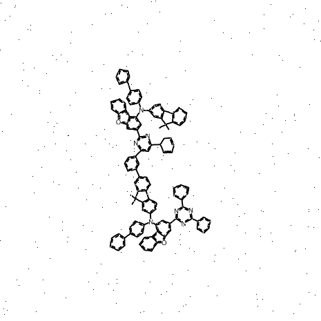 CC1(C)c2ccccc2-c2ccc(N(c3ccc(-c4ccccc4)cc3)c3cc(-c4nc(-c5cccc(-c6ccc7c(c6)C(C)(C)c6cc(N(c8ccc(-c9ccccc9)cc8)c8cc(-c9nc(-c%10ccccc%10)nc(-c%10ccccc%10)n9)cc9oc%10ccccc%10c89)ccc6-7)c5)cc(C5C=CC=CC5)n4)cc4oc5ccccc5c34)cc21